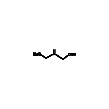 COCNCOC